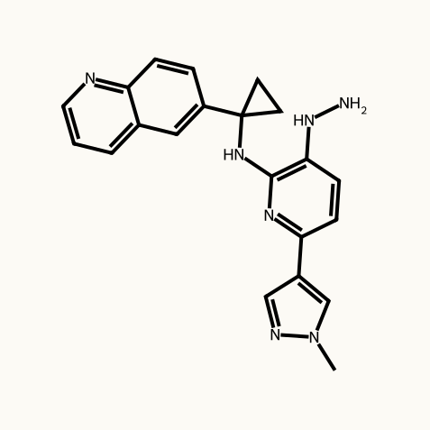 Cn1cc(-c2ccc(NN)c(NC3(c4ccc5ncccc5c4)CC3)n2)cn1